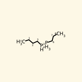 CCCCP[PH3]CCC